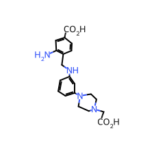 Nc1cc(C(=O)O)ccc1CNc1cccc(N2CCN(CC(=O)O)CC2)c1